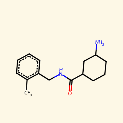 NC1CCCC(C(=O)NCc2ccccc2C(F)(F)F)C1